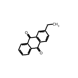 C[CH]c1ccc2c(c1)C(=O)c1ccccc1C2=O